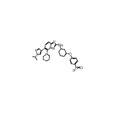 CC(C)n1cc(-c2ccc3nc(N[C@@H]4CCC[C@H](Oc5ccc([N+](=O)[O-])cc5)C4)nn3c2N2CCCCC2)cn1